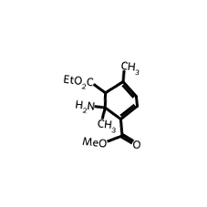 CCOC(=O)C1C(C)=CC=C(C(=O)OC)C1(C)N